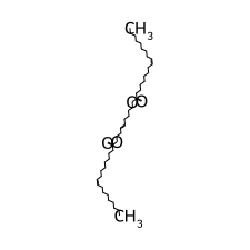 CCCCCCCC/C=C\CCCCCCCC(=O)OCCC=CCCCCOC(=O)CCCCCCC/C=C\CCCCCCCC